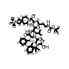 CC(C)C[C@@H](NC(=O)[C@@H](Cc1ccccc1)NC(=O)[C@@H](Cc1ccccc1)N(C(=O)O)C(C)(C)C)C(=O)N[C@H](CCCCNC(=O)OC(C)(C)C)C(=O)N1CCC2(CC1)CN(S(C)(=O)=O)C2